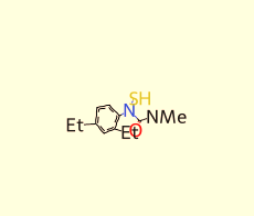 CCc1ccc(N(S)C(=O)NC)c(CC)c1